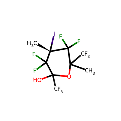 CC1(C(F)(F)F)OC(O)(C(F)(F)F)C(F)(F)[C@](C)(I)C1(F)F